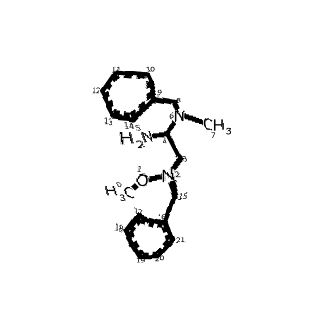 CON([C][C](N)N(C)Cc1ccccc1)Cc1ccccc1